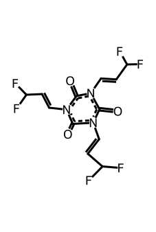 O=c1n(C=CC(F)F)c(=O)n(C=CC(F)F)c(=O)n1C=CC(F)F